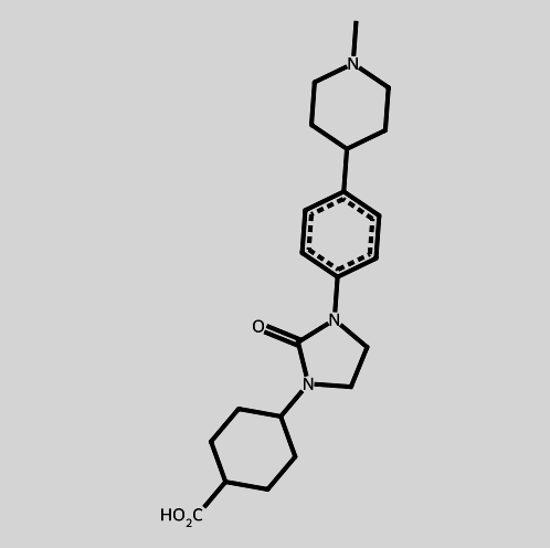 CN1CCC(c2ccc(N3CCN(C4CCC(C(=O)O)CC4)C3=O)cc2)CC1